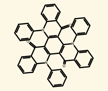 O=c1c2ccccc2n(-c2ccccc2)c2c1c1c(c(=O)c3ccccc3n1-c1ccccc1)c1c2c(=O)c2ccccc2n1-c1ccccc1